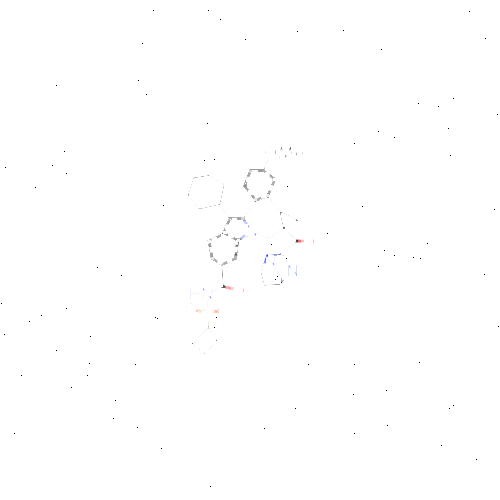 COc1ccc2c(c1)C1CC1(C(=O)N1CC3CCC1CN3)Cn1c-2c(C2CCCCC2)c2ccc(C(=O)NS(=O)(=O)C3CCC3)cc21